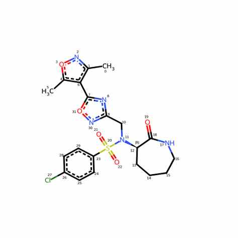 Cc1noc(C)c1-c1nc(CN([C@@H]2CCCCNC2=O)S(=O)(=O)c2ccc(Cl)cc2)no1